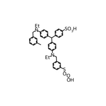 CCN(Cc1cccc(C)c1)c1ccc(C(c2ccc(N(CC)Cc3cccc(SOOO)c3)cc2)c2ccc(S(=O)(=O)O)cc2)cc1